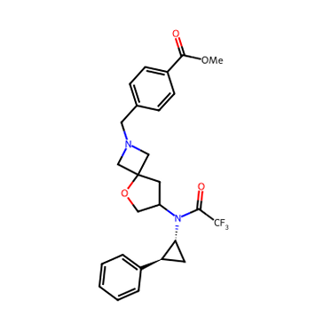 COC(=O)c1ccc(CN2CC3(CC(N(C(=O)C(F)(F)F)[C@@H]4C[C@H]4c4ccccc4)CO3)C2)cc1